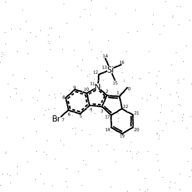 CC1=c2c(c3cc(Br)ccc3n2C[Si](C)(C)C)=C2C=CC=CC21